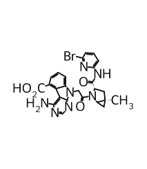 C[C@]12CC1N(C(=O)Cn1c3cccc(C(=O)O)c3c3c(N)ncnc31)[C@H](C(=O)Nc1cccc(Br)n1)C2